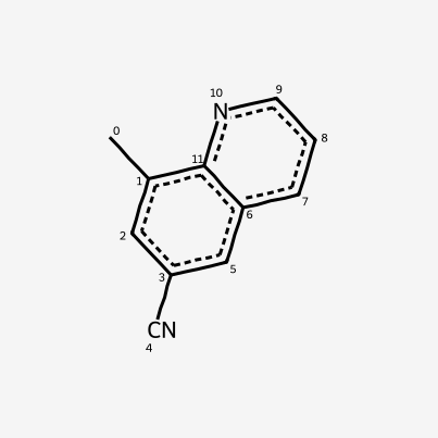 Cc1cc(C#N)cc2cccnc12